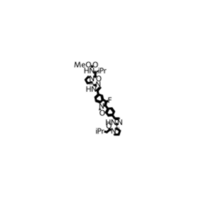 COC(=O)N[C@H](C(=O)N1CCC[C@H]1c1ncc(-c2ccc3c(c2)c(F)c2n3COc3cc(-c4cnc([C@@H]5CCCN5C(=O)CC(C)C)[nH]4)ccc3-2)[nH]1)C(C)C